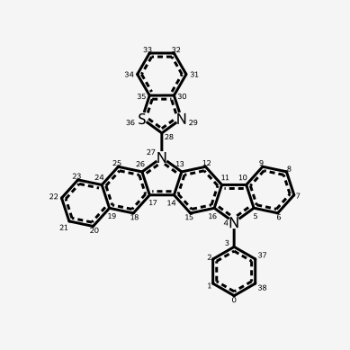 c1ccc(-n2c3ccccc3c3cc4c(cc32)c2cc3ccccc3cc2n4-c2nc3ccccc3s2)cc1